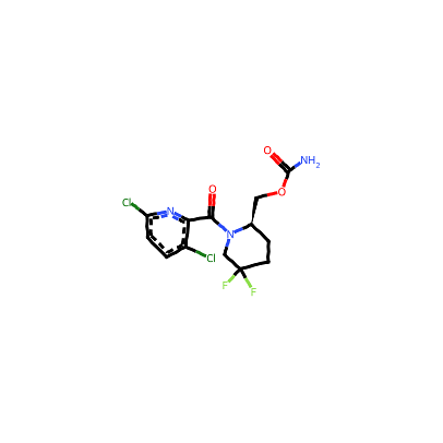 NC(=O)OC[C@H]1CCC(F)(F)CN1C(=O)c1nc(Cl)ccc1Cl